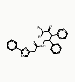 CC(C)N(C(=O)C(c1cccnc1)C(CNC(=O)Cc1csc(-c2ccccc2)n1)c1ccccc1)C(C)C